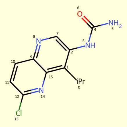 CC(C)c1c(NC(N)=O)cnc2ccc(Cl)nc12